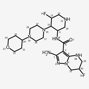 Nc1nn2c(c1C(=O)NC1CNCC(F)C1N1CCN(C3CCOCC3)CC1)NCC(F)C2